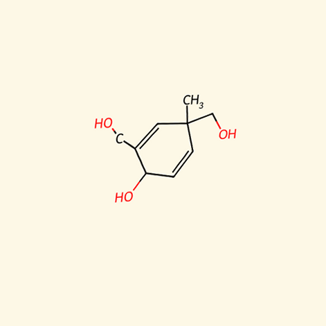 CC1(CO)C=CC(O)C(CO)=C1